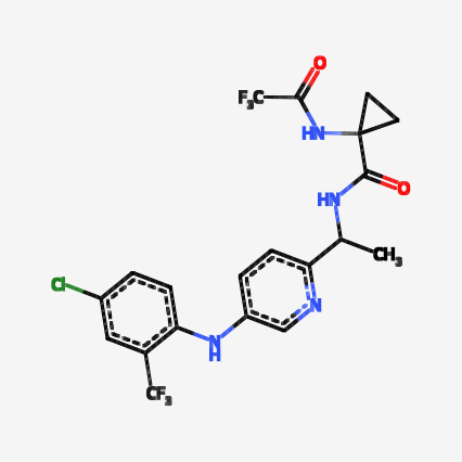 CC(NC(=O)C1(NC(=O)C(F)(F)F)CC1)c1ccc(Nc2ccc(Cl)cc2C(F)(F)F)cn1